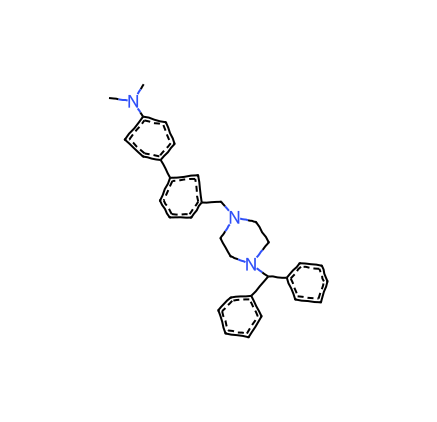 CN(C)c1ccc(-c2cccc(CN3CCN(C(c4ccccc4)c4ccccc4)CC3)c2)cc1